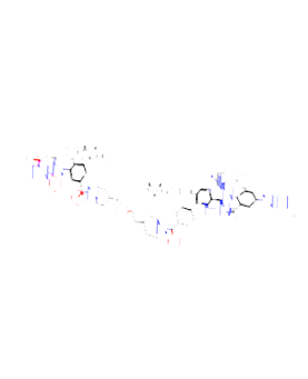 COc1cc2nc(C)nc(N[C@H](C)c3cc(N)cc(C(F)(F)F)c3)c2cc1C1=CCC(C(=O)N2CCC(CCOCC3CCN(C(=O)c4ccc(OC)c(N5CCC(=O)NC5=O)c4)CC3)CC2)CC1